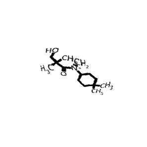 C=[N+](C(=O)C(C)(C)CO)C1CCC(C)(C)CC1